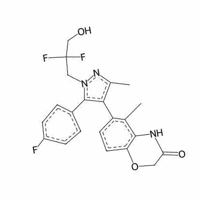 Cc1nn(CC(F)(F)CO)c(-c2ccc(F)cc2)c1-c1ccc2c(c1C)NC(=O)CO2